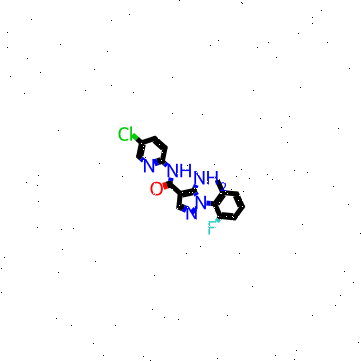 Cc1cccc(F)c1-n1ncc(C(=O)Nc2ccc(Cl)cn2)c1N